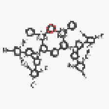 [C-]#[N+]c1cc(C#N)c(-c2ccc3c(c2)c2cc(-c4c([N+]#[C-])cc(C#N)cc4[N+]#[C-])ccc2n3-c2cc(-c3cccc(-c4cc(-c5nc(-c6ccccc6)nc(-c6ccccc6)n5)cc(-n5c6ccc(-c7c(C#N)cc([N+]#[C-])cc7[N+]#[C-])cc6c6cc(-c7c([N+]#[C-])cc(C#N)cc7[N+]#[C-])ccc65)c4)c3)cc(-c3nc(-c4ccccc4)nc(-c4ccccc4)n3)c2)c([N+]#[C-])c1